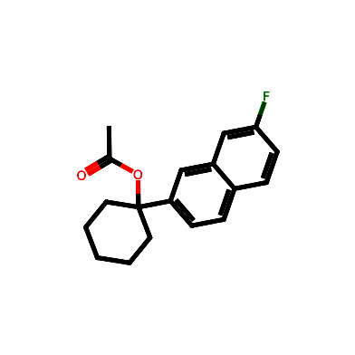 CC(=O)OC1(c2ccc3ccc(F)cc3c2)CCCCC1